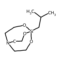 CC(C)C[Si]12OCCN(CCO1)CCO2